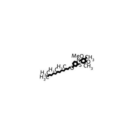 COc1c2nc3ccc(OC/C=C(\C)CC/C=C(\C)CCC=C(C)C)cc3sc-2c(C)c(=O)c1C